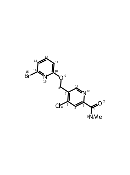 CNC(=O)c1cc(Cl)c(COc2cccc(Br)n2)cn1